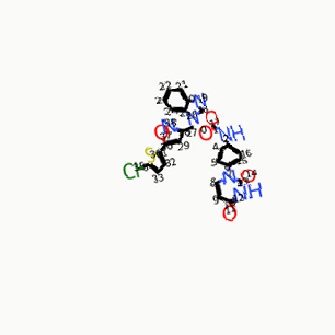 O=C(Nc1ccc(-n2ccc(=O)[nH]c2=O)cc1)Oc1nc2ccccc2n1Cc1cc(-c2ccc(Cl)s2)on1